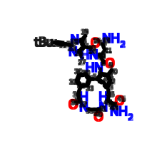 Cc1cc2cc(c1NC(=O)[C@H](CCN)NC(=O)c1c(C)nc(C#CC(C)(C)C)nc1C)-c1cccc(c1)CC(=O)NCC(=O)NC(C(N)=O)C2